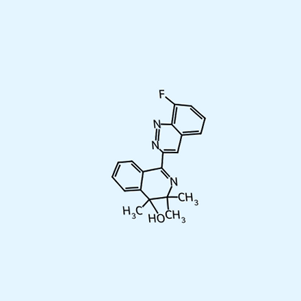 CC1(C)N=C(c2cc3cccc(F)c3nn2)c2ccccc2C1(C)O